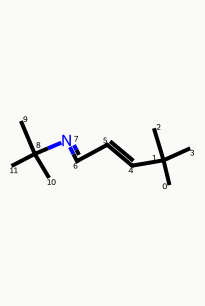 CC(C)(C)C=CC=NC(C)(C)C